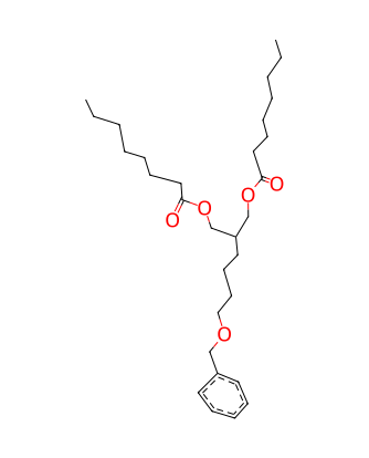 CCCCCCCC(=O)OCC(CCCCOCc1ccccc1)COC(=O)CCCCCCC